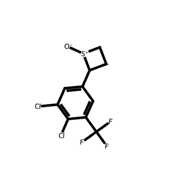 [O-][S+]1C[CH]C1c1cc(Cl)c(Cl)c(C(F)(F)F)c1